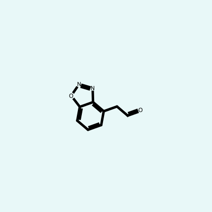 O=[C]Cc1cccc2onnc12